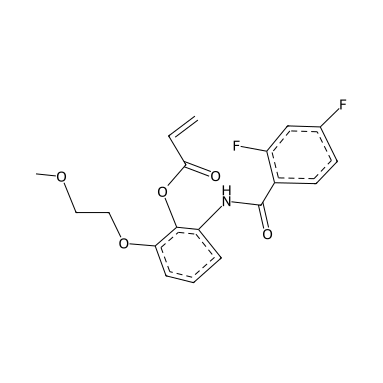 C=CC(=O)Oc1c(NC(=O)c2ccc(F)cc2F)cccc1OCCOC